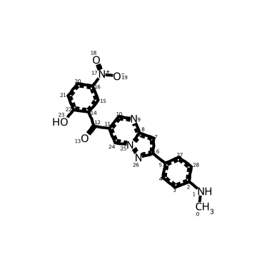 CNc1ccc(-c2cc3ncc(C(=O)c4cc([N+](=O)[O-])ccc4O)cn3n2)cc1